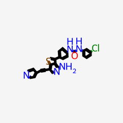 Nc1ncc(C#Cc2ccncc2)c2scc(-c3ccc(NC(=O)Nc4cccc(Cl)c4)cc3)c12